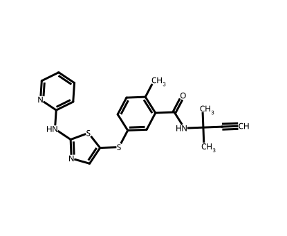 C#CC(C)(C)NC(=O)c1cc(Sc2cnc(Nc3ccccn3)s2)ccc1C